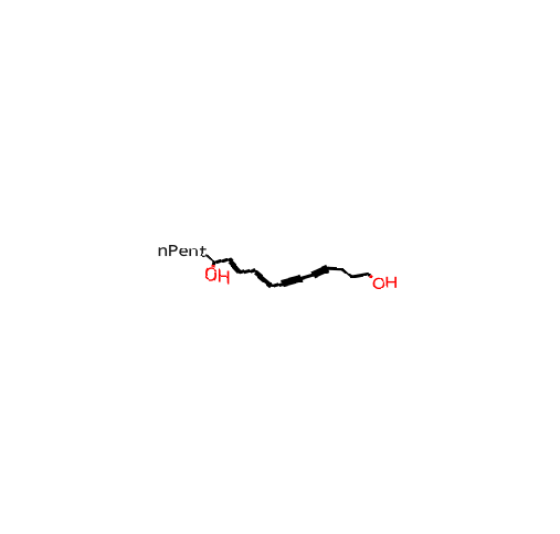 CCCCC[C@H](O)/C=C/C=C/C#CC#CCCCO